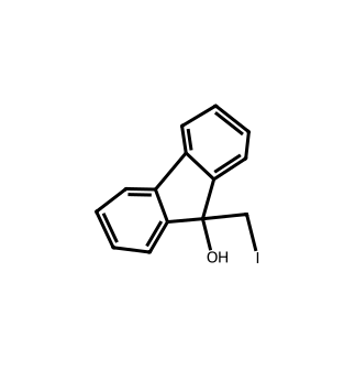 OC1(CI)c2ccccc2-c2ccccc21